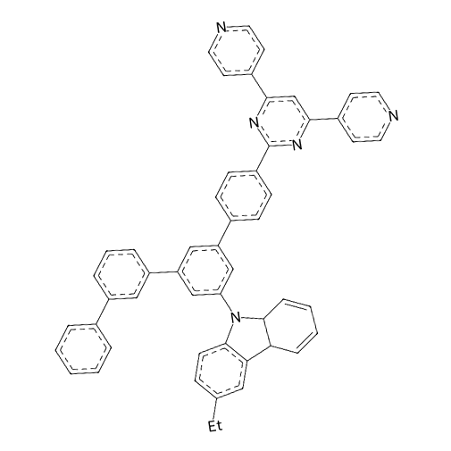 CCc1ccc2c(c1)C1C=CC=CC1N2c1cc(-c2ccc(-c3nc(-c4ccncc4)cc(-c4ccncc4)n3)cc2)cc(-c2cccc(-c3ccccc3)c2)c1